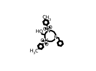 Cc1ccc(S(=O)(=O)N2CCCN(Cc3ccccc3)CCCN(S(=O)(=O)c3ccc(C)cc3)CC(CO)C2)cc1